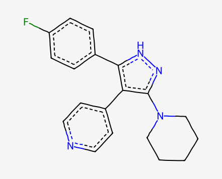 Fc1ccc(-c2[nH]nc(N3CCCCC3)c2-c2ccncc2)cc1